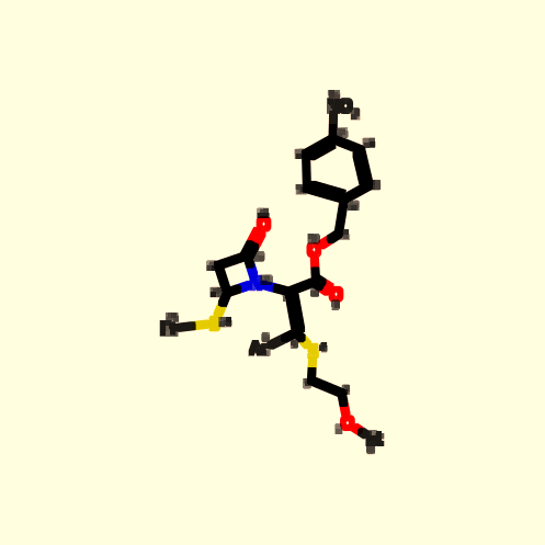 CCOCCSC(C(C)=O)=C(C(=O)OCc1ccc([N+](=O)[O-])cc1)N1C(=O)CC1SCC